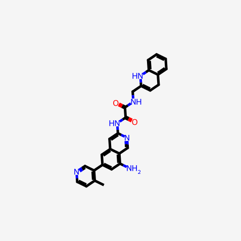 Cc1ccncc1-c1cc(N)c2cnc(NC(=O)C(=O)NCC3=CCc4ccccc4N3)cc2c1